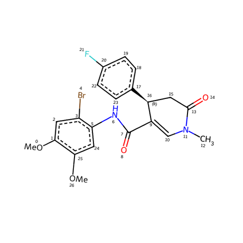 COc1cc(Br)c(NC(=O)C2=CN(C)C(=O)C[C@@H]2c2ccc(F)cc2)cc1OC